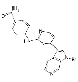 CC(C)n1cc(-c2ccnc(Nc3ccc(C(N)=O)cc3)n2)c2ccncc21